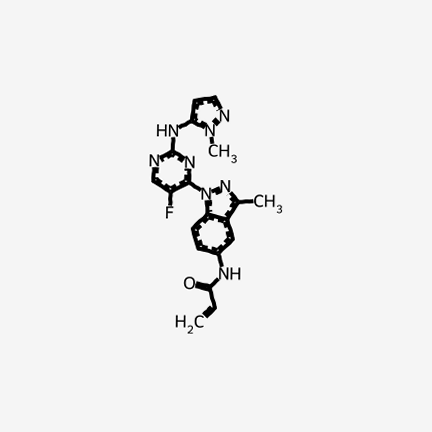 C=CC(=O)Nc1ccc2c(c1)c(C)nn2-c1nc(Nc2ccnn2C)ncc1F